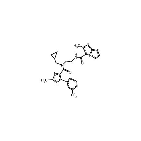 Cc1nc(C(=O)N(CCNC(=O)c2c(C)nc3sccn23)CC2CC2)c(-c2cccc(C(F)(F)F)c2)s1